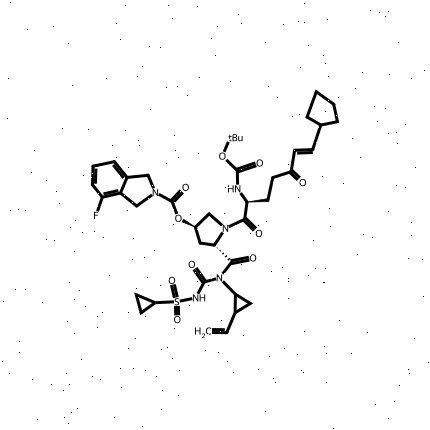 C=CC1CC1N(C(=O)NS(=O)(=O)C1CC1)C(=O)[C@@H]1C[C@@H](OC(=O)N2Cc3cccc(F)c3C2)CN1C(=O)[C@H](CCC(=O)/C=C/C1CCCC1)NC(=O)OC(C)(C)C